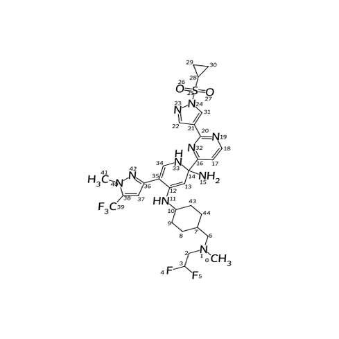 CN(CC(F)F)CC1CCC(NC2=CC(N)(c3ccnc(-c4cnn(S(=O)(=O)C5CC5)c4)n3)NC=C2c2cc(C(F)(F)F)n(C)n2)CC1